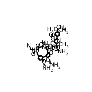 Cc1cc(-c2ccc(C(C)(C)C)cc2[N+](=O)[O-])nc(C)c1C(=O)N[C@@H](CCN)C(=O)N(C)[C@@H]1C(=O)N[C@@H](C)C(=O)N[C@H](C(=O)NCC#N)Cc2ccc(OCCN)c(c2)-c2cc1ccc2OCCN